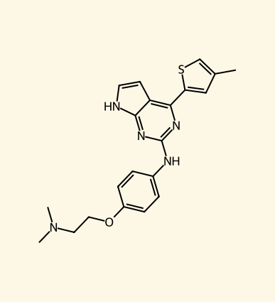 Cc1csc(-c2nc(Nc3ccc(OCCN(C)C)cc3)nc3[nH]ccc23)c1